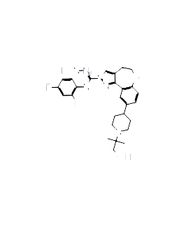 CC(C)(CO)N1CCC(c2ccc3c(c2)-c2nn(/C(=N/N)Nc4ccc(F)cc4F)cc2CCO3)CC1